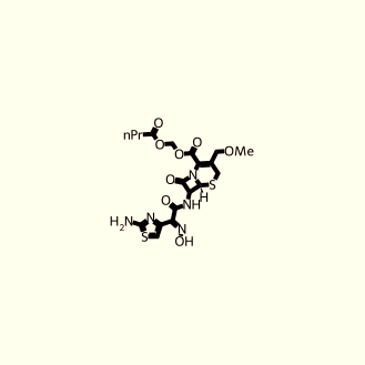 CCCC(=O)OCOC(=O)C1=C(COC)CS[C@H]2C(NC(=O)C(=NO)c3csc(N)n3)C(=O)N12